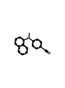 CN(c1ccc(C#N)cc1)c1cccc2ccccc12